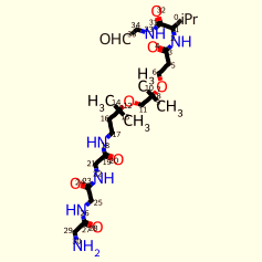 CC(C)C(NC(=O)CCOC(C)(C)COC(C)(C)CCNC(=O)CNC(=O)CNC(=O)CN)C(=O)NCC=O